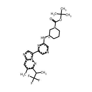 Cc1cc2ncc(-c3cncc(N[C@@H]4CCCN(C(=O)OC(C)(C)C)C4)n3)n2nc1C(C)C(F)(F)F